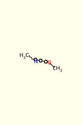 CCCCCOc1ccc(-c2ccc(-c3ccc(CCCCC)cn3)cc2)cc1